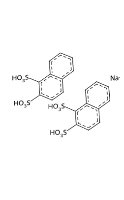 O=S(=O)(O)c1ccc2ccccc2c1S(=O)(=O)O.O=S(=O)(O)c1ccc2ccccc2c1S(=O)(=O)O.[Na]